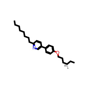 CCCCCCCCc1ccc(-c2ccc(OCCC[C@@H](C)CC)cc2)cn1